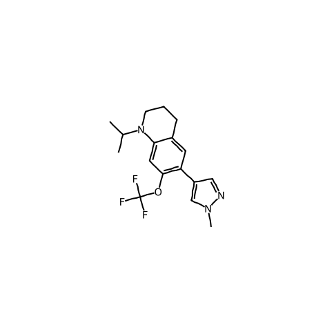 CC(C)N1CCCc2cc(-c3cnn(C)c3)c(OC(F)(F)F)cc21